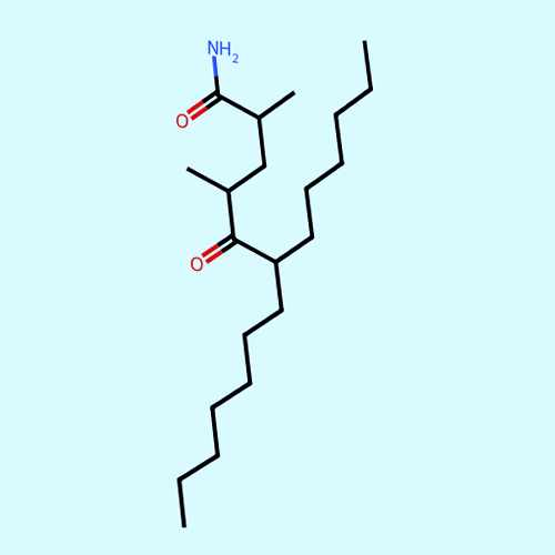 CCCCCCCC(CCCCCC)C(=O)C(C)CC(C)C(N)=O